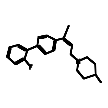 C/C(=C/CN1CCC(C)CC1)c1ccc(-c2ccccc2F)cc1